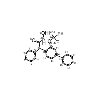 O=C(NO)C(c1ccccc1)c1ccc(-c2ccccc2)cc1OC(F)(F)F